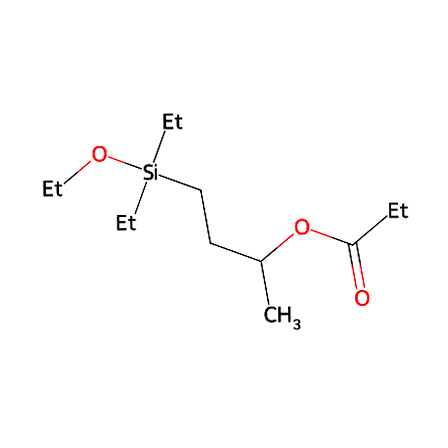 CCO[Si](CC)(CC)CCC(C)OC(=O)CC